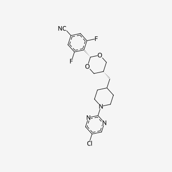 N#Cc1cc(F)c([C@H]2OC[C@@H](CC3CCN(c4ncc(Cl)cn4)CC3)CO2)c(F)c1